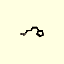 O=C(O)CC/C=C\c1ccsc1